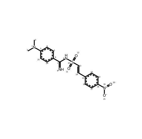 CN(C)c1ccc(C(=N)NS(=O)(=O)C=Cc2ccc([N+](=O)[O-])cc2)cc1